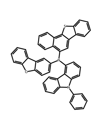 c1ccc(-n2c3ccccc3c3c(N(c4ccc5oc6ccccc6c5c4)c4cc5c6ccccc6sc5c5ccccc45)cccc32)cc1